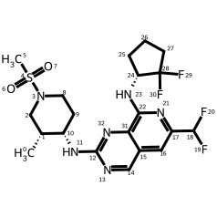 C[C@@H]1CN(S(C)(=O)=O)CC[C@@H]1Nc1ncc2cc(C(F)F)nc(N[C@@H]3CCCC3(F)F)c2n1